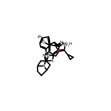 CC(C)Oc1cc(C(=O)O)cc2sc(N3C4CCC3CC(NCc3c(-c5ccccc5C(F)(F)F)noc3C3CC3)C4)nc12